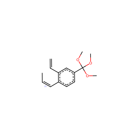 C=Cc1cc(C(OC)(OC)OC)ccc1/C=C\C